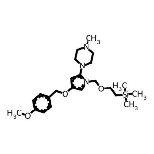 COc1ccc(COc2cc(N3CCN(C)CC3)n(COCC[Si](C)(C)C)c2)cc1